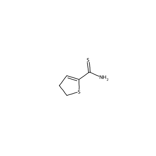 NC(=S)C1=CCCS1